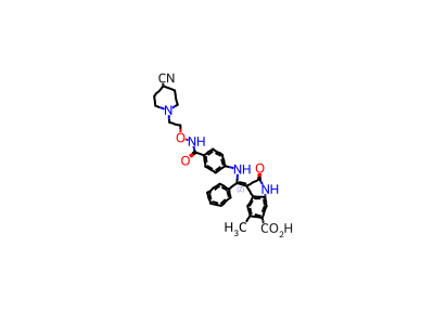 Cc1cc2c(cc1C(=O)O)NC(=O)/C2=C(\Nc1ccc(C(=O)NOCCN2CCC(C#N)CC2)cc1)c1ccccc1